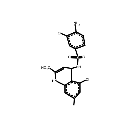 Nc1ccc(S(=O)(=O)NC2C=C(C(=O)O)Nc3cc(Cl)cc(Cl)c32)cc1Cl